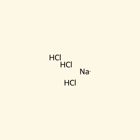 Cl.Cl.Cl.[Na]